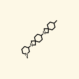 CC1CCC2(CC1)CN(C1CCC3(CC1)CN(C1CCCN(C)C1)C3)C2